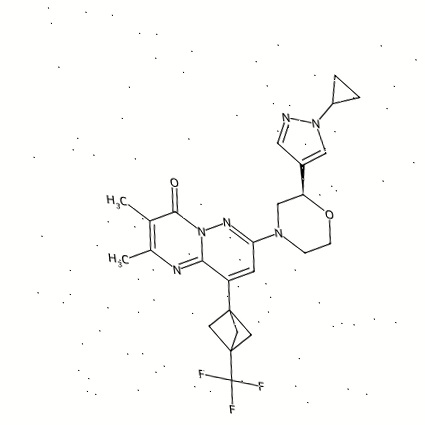 Cc1nc2c(C34CC(C(F)(F)F)(C3)C4)cc(N3CCO[C@H](c4cnn(C5CC5)c4)C3)nn2c(=O)c1C